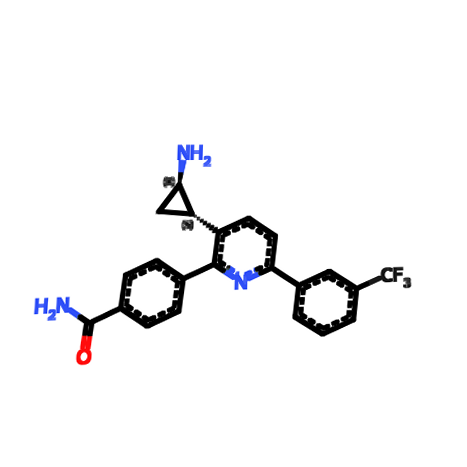 NC(=O)c1ccc(-c2nc(-c3cccc(C(F)(F)F)c3)ccc2[C@@H]2C[C@H]2N)cc1